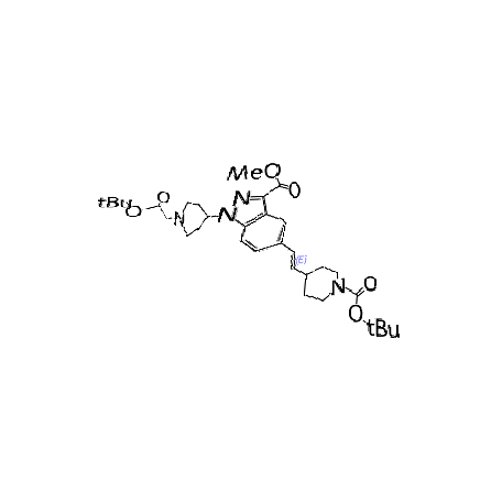 COC(=O)c1nn(C2CCN(CC(=O)OC(C)(C)C)CC2)c2ccc(/C=C/C3CCN(C(=O)OC(C)(C)C)CC3)cc12